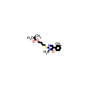 C=C(C)C(=O)OCCCCSc1ncc(-c2ccccc2C)c(=O)n1C